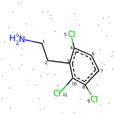 NCCc1c(Cl)ccc(Cl)c1Cl